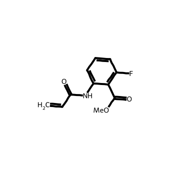 C=CC(=O)Nc1cccc(F)c1C(=O)OC